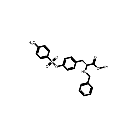 Cc1ccc(S(=O)(=O)Oc2ccc(C[C@H](NCc3ccccc3)C(=O)OC(C)C)cc2)cc1